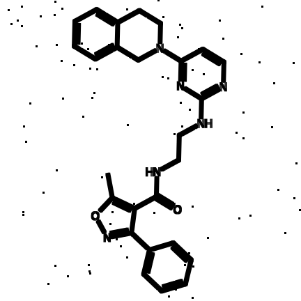 Cc1onc(-c2ccccc2)c1C(=O)NCCNc1nccc(N2CCc3ccccc3C2)n1